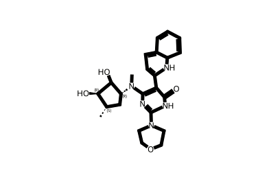 C[C@H]1C[C@@H](N(C)c2nc(N3CCOCC3)[nH]c(=O)c2C2=CC=C3C=CC=CC3N2)C(O)[C@@H]1O